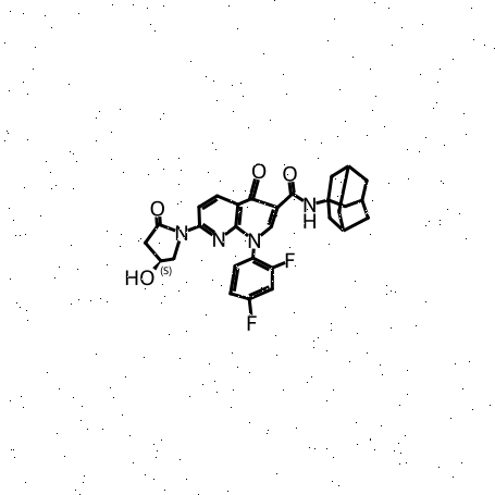 O=C(NC12CC3CC(CC(C3)C1)C2)c1cn(-c2ccc(F)cc2F)c2nc(N3C[C@@H](O)CC3=O)ccc2c1=O